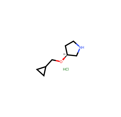 C1C[C@H](OCC2CC2)CN1.Cl